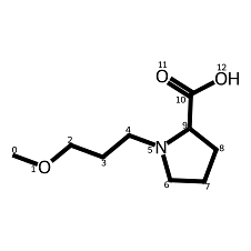 COCCCN1CCCC1C(=O)O